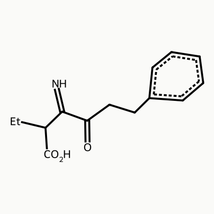 CCC(C(=N)C(=O)CCc1ccccc1)C(=O)O